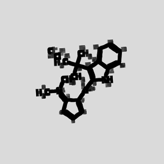 C[Si](C)=C1C=CC=[C]1[Zr+2][c]1[nH]c2ccccc2c1C(C)(C)C.[Cl-].[Cl-]